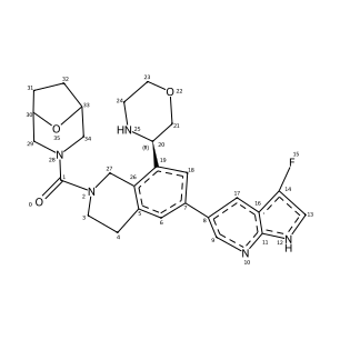 O=C(N1CCc2cc(-c3cnc4[nH]cc(F)c4c3)cc([C@@H]3COCCN3)c2C1)N1CC2CCC(C1)O2